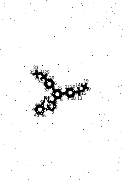 C\C1=C/C=C(c2cc(-c3ccc(C(C)(C)CC(C)(C)C)cc3)cc(-c3ccc(C(C)(C)CC(C)(C)C)cc3)c2)\C=N\Cc2ccccc21